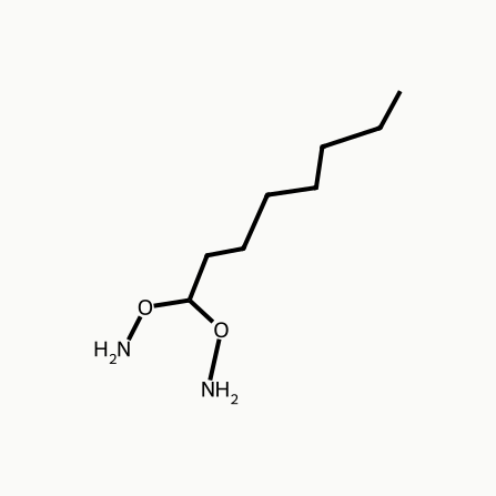 CCCCCCCC(ON)ON